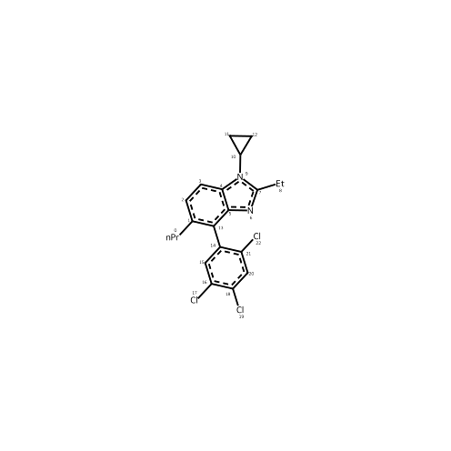 CCCc1ccc2c(nc(CC)n2C2CC2)c1-c1cc(Cl)c(Cl)cc1Cl